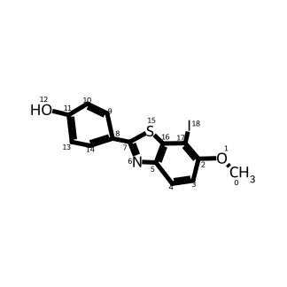 COc1ccc2nc(-c3ccc(O)cc3)sc2c1I